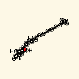 C[C@]12C=CC(=O)C=C1[C@@H](F)C[C@H]1C3C[C@H]4O[C@@H](c5ccc(Sc6cccc(NC(=O)CCOCCOCCOCCOCCOCCOCCN7C(=O)C=CC7=O)c6)cc5)O[C@@]4(C(=O)CO)[C@@]3(C)C[C@H](O)[C@@]12F